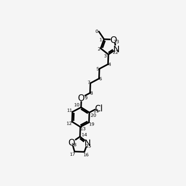 Cc1cc(CCCCCOc2ccc(C3=NCCO3)cc2Cl)no1